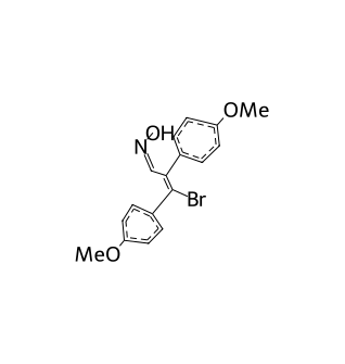 COc1ccc(/C(Br)=C(\C=N/O)c2ccc(OC)cc2)cc1